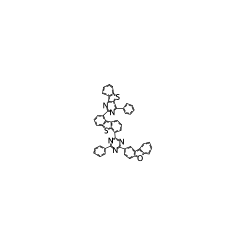 c1ccc(-c2nc(-c3ccc4oc5ccccc5c4c3)nc(-c3cccc4c3sc3cccc(-c5nc(-c6ccccc6)c6sc7ccccc7c6n5)c34)n2)cc1